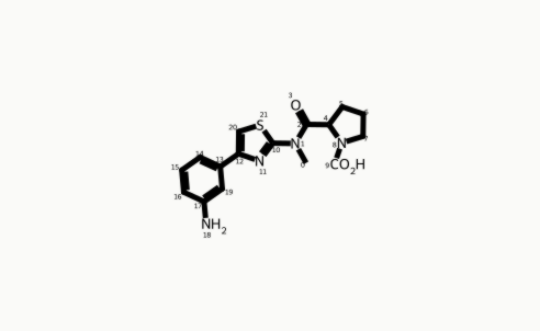 CN(C(=O)C1CCCN1C(=O)O)c1nc(-c2cccc(N)c2)cs1